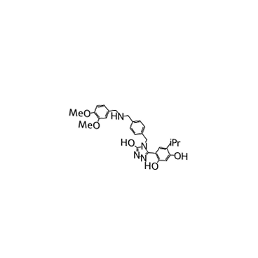 COc1ccc(CNCc2ccc(Cn3c(O)nnc3-c3cc(C(C)C)c(O)cc3O)cc2)cc1OC